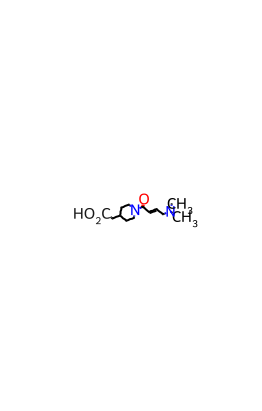 CN(C)CC=CC(=O)N1CCC(CC(=O)O)CC1